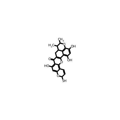 CC1Oc2c(O)cc(O)c3c2C(Cc2c-3oc3c4c(cc(O)c3c2=O)OC(S)C=C4)C1C